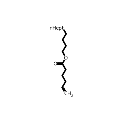 C=CCCCC(=O)OCCCCCCCCCCC